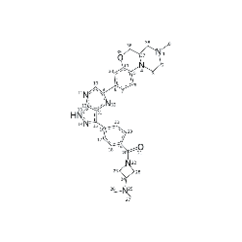 CN1CCN2c3ccc(-c4cnc5[nH]nc(-c6ccc(C(=O)N7CC(N(C)C)C7)cc6)c5n4)cc3OCC2C1